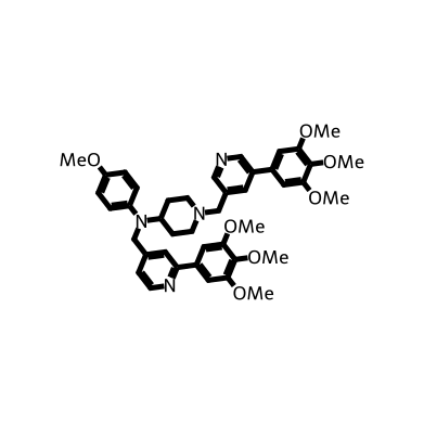 COc1ccc(N(Cc2ccnc(-c3cc(OC)c(OC)c(OC)c3)c2)C2CCN(Cc3cncc(-c4cc(OC)c(OC)c(OC)c4)c3)CC2)cc1